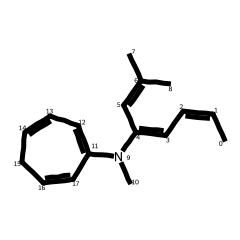 C/C=C\C=C(/C=C(C)C)N(C)C1=CC=CCC=C1